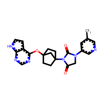 O=C1CN(c2cncc(C(F)(F)F)c2)C(=O)N1C12CCC(Oc3ncnc4[nH]ccc34)(CC1)C2